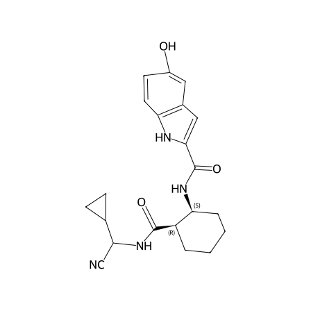 N#CC(NC(=O)[C@@H]1CCCC[C@@H]1NC(=O)c1cc2cc(O)ccc2[nH]1)C1CC1